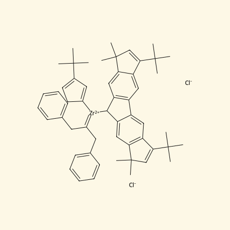 CC(C)(C)C1=CC[C]([Zr+2](=[C](Cc2ccccc2)Cc2ccccc2)[CH]2c3cc4c(cc3-c3cc5c(cc32)C(C)(C)C=C5C(C)(C)C)C(C(C)(C)C)=CC4(C)C)=C1.[Cl-].[Cl-]